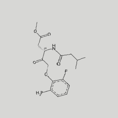 COC(=O)C[C@H](NC(=O)CC(C)C)C(=O)COc1c(F)cccc1P